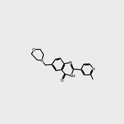 Cc1cc(-c2nc3ccc(CN4CCOCC4)cc3c(=O)[nH]2)ccn1